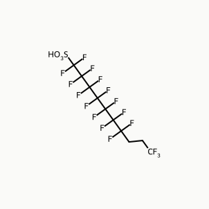 O=S(=O)(O)C(F)(F)C(F)(F)C(F)(F)C(F)(F)C(F)(F)C(F)(F)C(F)(F)CCC(F)(F)F